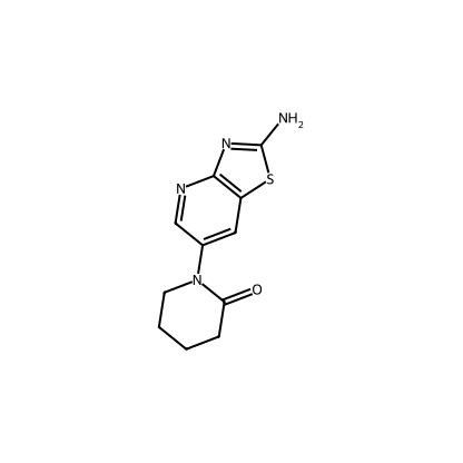 Nc1nc2ncc(N3CCCCC3=O)cc2s1